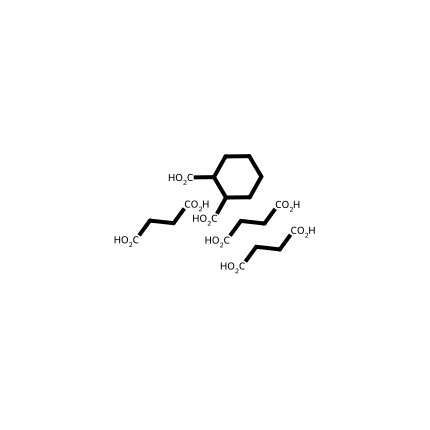 O=C(O)C1CCCCC1C(=O)O.O=C(O)CCC(=O)O.O=C(O)CCC(=O)O.O=C(O)CCC(=O)O